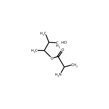 CC(N)C(=O)OC(C)C(C)C.Cl